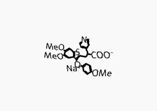 COc1ccc(Oc2c(CC(C(=O)[O-])c3ccncc3)sc3cc(OC)c(OC)cc23)cc1.[Na+]